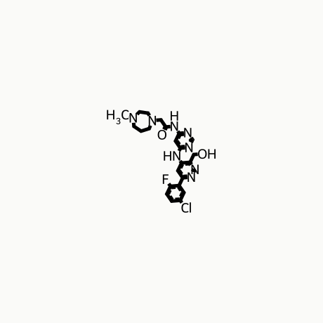 CN1CCCN(CC(=O)Nc2cc(Nc3cc(-c4cc(Cl)ccc4F)nnc3CO)ncn2)CC1